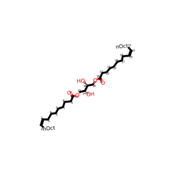 CCCCCCCC/C=C\CCCCCCCC(=O)OC[C@@H](O)[C@@H](O)COC(=O)CCCCCCC/C=C\CCCCCCCC